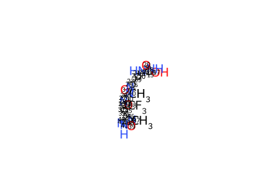 CN(C(=O)N1CCC(c2ccc(NC3CCC(O)NC3=O)cc2)CC1)C1CCN(Cc2ccc(-c3cn(C)c(=O)c4[nH]ncc34)cc2OC(F)(F)F)CC1